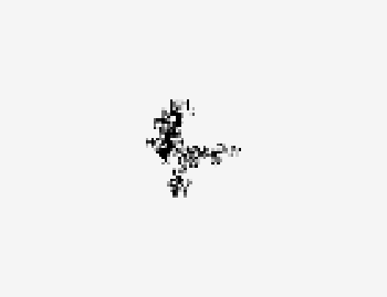 CC(C)OC(=O)OCOP(=O)(OCOC(=O)OC(C)C)OC[C@@]1(C2CC2)OC[C@@](F)(n2ccc(N)nc2=O)[C@@H]1O